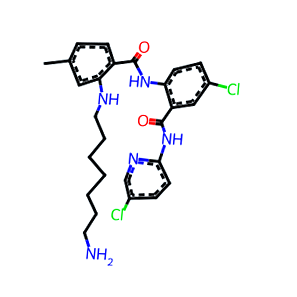 Cc1ccc(C(=O)Nc2ccc(Cl)cc2C(=O)Nc2ccc(Cl)cn2)c(NCCCCCCCN)c1